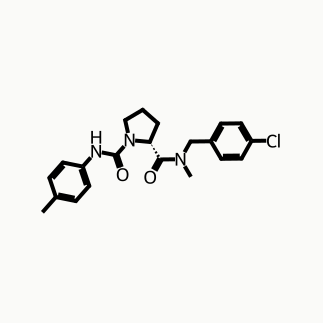 Cc1ccc(NC(=O)N2CCC[C@@H]2C(=O)N(C)Cc2ccc(Cl)cc2)cc1